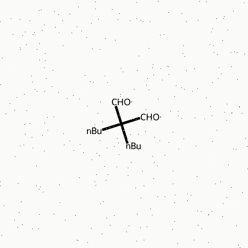 CCCCC([C]=O)([C]=O)CCCC